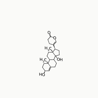 C[C@]12CC[C@H](O)C=C1CCC1C2CC[C@]2(C)[C@@H](C3=COC(=O)CC3)CC[C@]12O